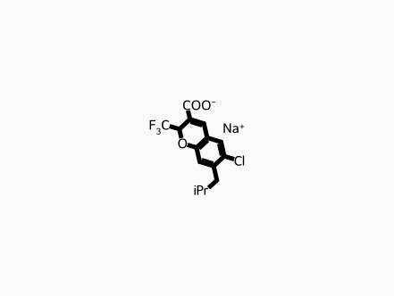 CC(C)Cc1cc2c(cc1Cl)C=C(C(=O)[O-])C(C(F)(F)F)O2.[Na+]